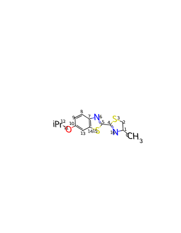 CC1CSC(c2nc3ccc(OC(C)C)cc3s2)=N1